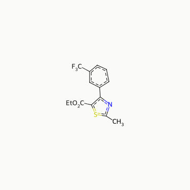 CCOC(=O)c1sc(C)nc1-c1cccc(C(F)(F)F)c1